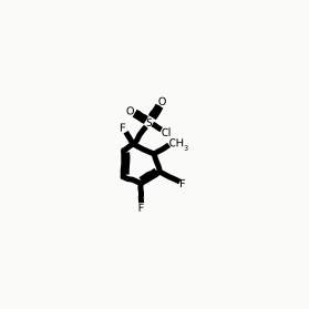 CC1C(F)=C(F)C=CC1(F)S(=O)(=O)Cl